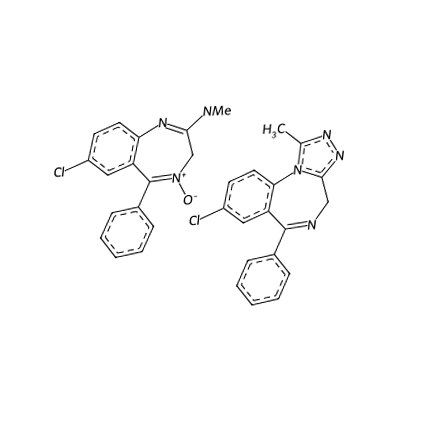 CNC1=Nc2ccc(Cl)cc2C(c2ccccc2)=[N+]([O-])C1.Cc1nnc2n1-c1ccc(Cl)cc1C(c1ccccc1)=NC2